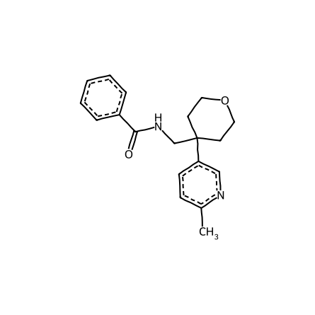 Cc1ccc(C2(CNC(=O)c3ccccc3)CCOCC2)cn1